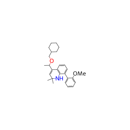 COc1ccccc1-c1cccc2c1NC(C)(C)C=C2C(C)OCC1CCCCC1